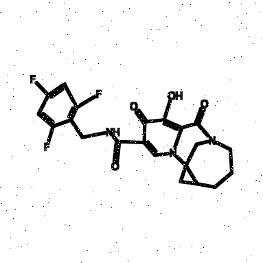 O=C(NCc1c(F)cc(F)cc1F)c1cn2c(c(O)c1=O)C(=O)N1CCCC3CC32C1